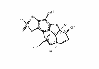 CN1CC[C@]23c4c5c(OS(C)(=O)=O)c(Br)c(O)c4O[C@H]2[C@@H](O)C=C[C@H]3[C@H]1C5